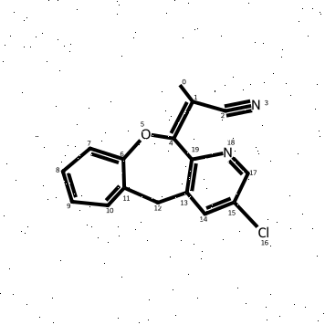 CC(C#N)=C1Oc2ccccc2Cc2cc(Cl)cnc21